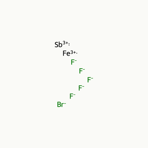 [Br-].[F-].[F-].[F-].[F-].[F-].[Fe+3].[Sb+3]